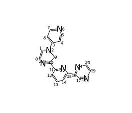 C1=CN(c2ccncc2)CC(c2cccc(-c3cnccn3)n2)=N1